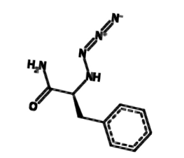 [N-]=[N+]=NN[C@@H](Cc1ccccc1)C(N)=O